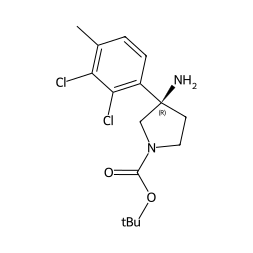 Cc1ccc([C@]2(N)CCN(C(=O)OC(C)(C)C)C2)c(Cl)c1Cl